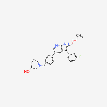 CCOCc1[nH]c2ncc(-c3ccc(CN4CCCC(O)C4)cc3)cc2c1-c1cccc(F)c1